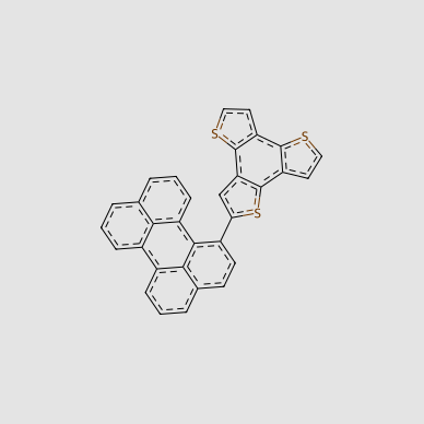 c1cc2cccc3c4c(-c5cc6c7sccc7c7sccc7c6s5)ccc5cccc(c(c1)c23)c54